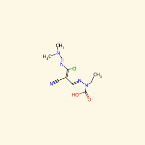 CCN(N=CC(C#N)=C(Cl)N=CN(C)C)C(=O)O